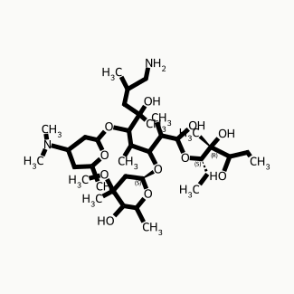 CCC(O)[C@@](C)(O)[C@H](CC)OC(O)C(C)C(O[C@@H]1CC(C)(OC)C(O)C(C)O1)C(C)C(OC1CC(N(C)C)CC(C)O1)C(C)(O)CC(C)CN